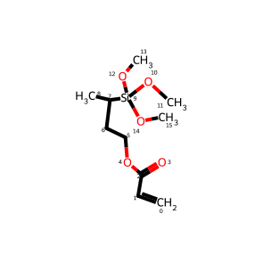 C=CC(=O)OCCC(C)[Si](OC)(OC)OC